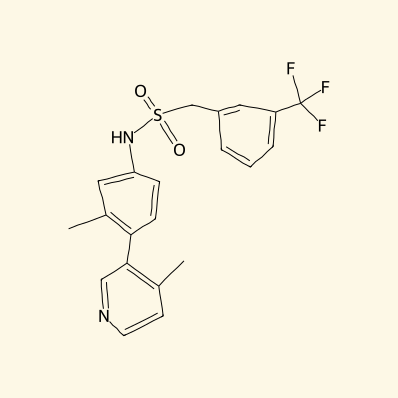 Cc1cc(NS(=O)(=O)Cc2cccc(C(F)(F)F)c2)ccc1-c1cnccc1C